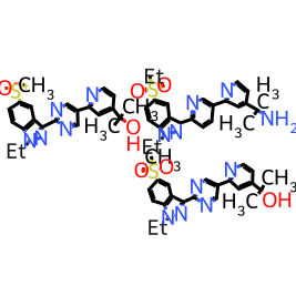 CCn1nc(-c2ccc(-c3cc(C(C)(C)N)ccn3)cn2)c2cc(S(=O)(=O)CC)ccc21.CCn1nc(-c2ncc(-c3cc(C(C)(C)O)ccn3)cn2)c2cc(S(C)(=O)=O)ccc21.CCn1nc(-c2ncc(-c3cc(C(C)(C)O)ccn3)cn2)c2cc([S+](C)[O-])ccc21